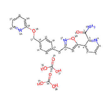 NC(=O)c1ncccc1-c1cc(Cc2ccc(COc3ccccn3)cc2)no1.O=C(O)O.O=C(O)O